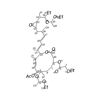 CCOCC(=O)OC1CCC(C)(OC(C)OCC)C(OC(C)=O)/C=C/C(C)C(/C(C)=C/C=C/C(C)CC2OC2C(C)C(CC)OC(C)OCC)OC(=O)C1